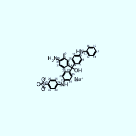 Cc1cc(C(O)(c2ccc(Nc3ccccc3)cc2)c2ccc(Nc3ccc(S(=O)(=O)[O-])cc3)cc2)ccc1N.[Na+]